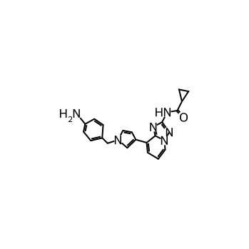 Nc1ccc(Cn2ccc(-c3cccn4nc(NC(=O)C5CC5)nc34)c2)cc1